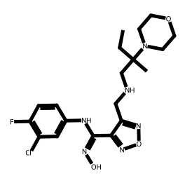 CCC(C)(CNCc1nonc1C(=NO)Nc1ccc(F)c(Cl)c1)N1CCOCC1